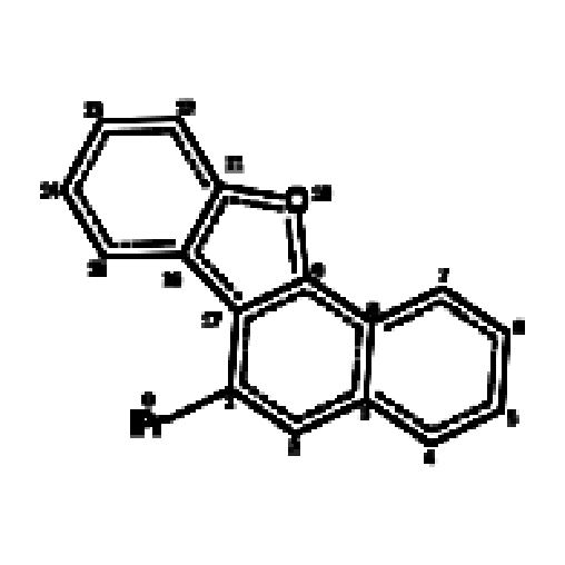 CC(C)c1cc2ccccc2c2oc3ccccc3c12